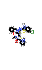 CCn1c(=O)/c(=C2\C=CC=CN2C)s/c1=C1\S/C(=N\c2sc3cc(Cl)ccc3[n+]2C)N(Cc2ccccc2)C1=O